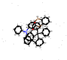 c1ccc(N(c2cccc(-c3ccccc3C3(c4ccccc4)c4ccccc4-c4ccccc43)c2)c2ccc3c(c2)Sc2ccccc2S3)cc1